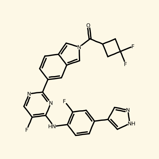 O=C(C1CC(F)(F)C1)n1cc2ccc(-c3ncc(F)c(Nc4ccc(-c5cn[nH]c5)cc4F)n3)cc2c1